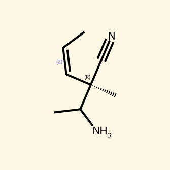 C/C=C\[C@@](C)(C#N)C(C)N